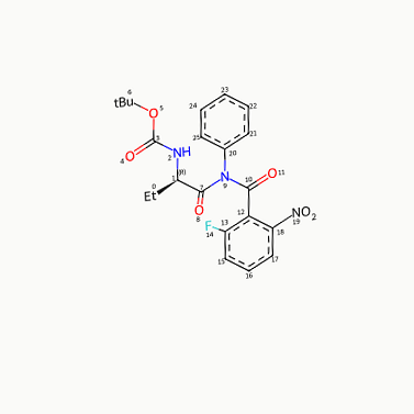 CC[C@@H](NC(=O)OC(C)(C)C)C(=O)N(C(=O)c1c(F)cccc1[N+](=O)[O-])c1ccccc1